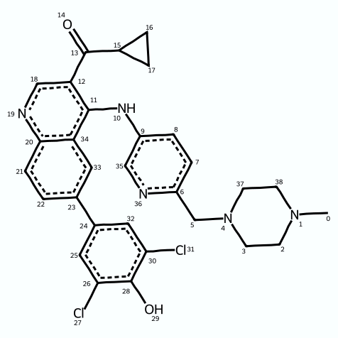 CN1CCN(Cc2ccc(Nc3c(C(=O)C4CC4)cnc4ccc(-c5cc(Cl)c(O)c(Cl)c5)cc34)cn2)CC1